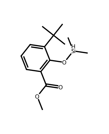 COC(=O)c1cccc(C(C)(C)C)c1O[SiH](C)C